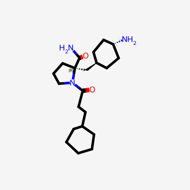 NC(=O)[C@]1(C[C@H]2CC[C@H](N)CC2)CCCN1C(=O)CCC1CCCCC1